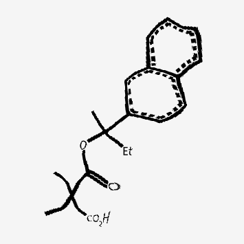 CCC(C)(OC(=O)C(C)(C)C(=O)O)c1ccc2ccccc2c1